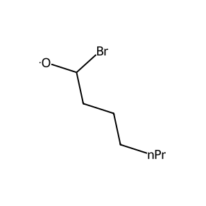 CCCCCCC([O])Br